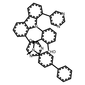 CN(C(=O)c1c(C=O)cccc1-n1c2c(-c3cncnc3)cccc2c2cccc(-c3cncnc3)c21)c1ccc(-c2ccccc2)cc1